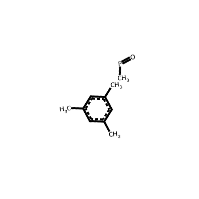 CP=O.Cc1cc(C)cc(C)c1